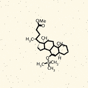 COC(=O)CC[C@@H](C)[C@H]1CCC2C3C(O[Si](C)(C)C)=C[C@@H]4CCCC[C@]4(C)C3CC[C@@]21C